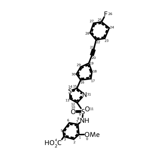 COc1cc(C(=O)O)ccc1NS(=O)(=O)c1csc(-c2ccc(C#Cc3ccc(F)cc3)cc2)n1